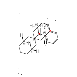 Nc1ccccc1NC1C[C@H]2CCC[C@@H](C1)N2[C@H]1C[C@@H]2CCC[C@@H](C2)C1